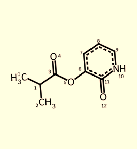 CC(C)C(=O)Oc1ccc[nH]c1=O